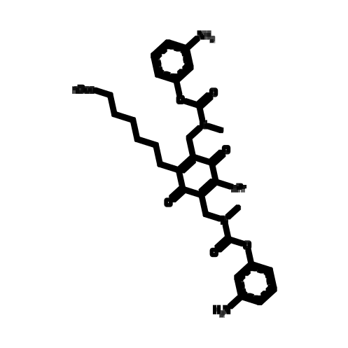 CCCCCCCCCCCCCCCCC1=C(CN(C)C(=O)Oc2cccc(N)c2)C(=O)C(CCC)=C(CN(C)C(=O)Oc2cccc(N)c2)C1=O